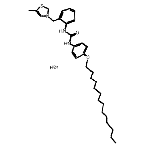 Br.CCCCCCCCCCCCCCOc1ccc(NC(=O)Nc2ccccc2CN2C=C(C)SC2)cc1